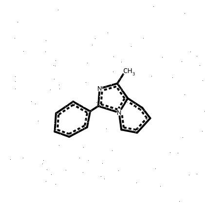 Cc1nc(-c2ccccc2)n2ccccc12